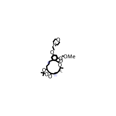 COCOc1cc(OCCN2CCOCC2)cc2c1C(=O)OC(C)[C@H](C)/C=C\C(=O)C1OC(C)(C)OC1C/C=C/2